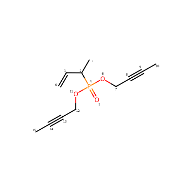 C=CC(C)P(=O)(OCC#CC)OCC#CC